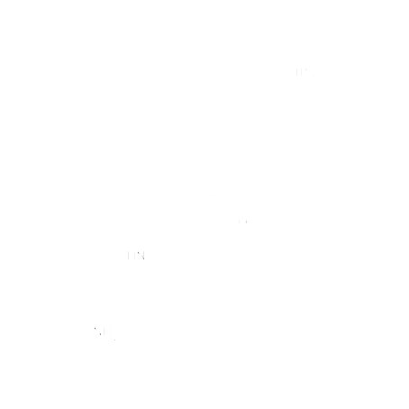 C/C(=C\C(C)(C)C)COC(=O)CCNCCN